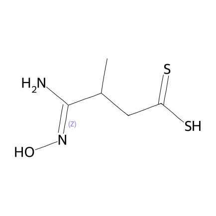 CC(CC(=S)S)/C(N)=N/O